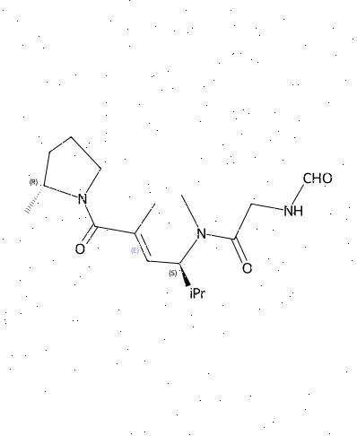 C/C(=C\[C@H](C(C)C)N(C)C(=O)CNC=O)C(=O)N1CCC[C@H]1C